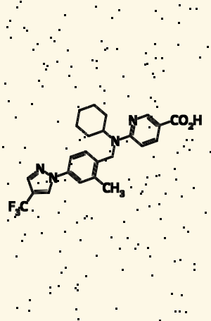 Cc1cc(-n2cc(C(F)(F)F)cn2)ccc1CN(c1ccc(C(=O)O)cn1)C1CCCCC1